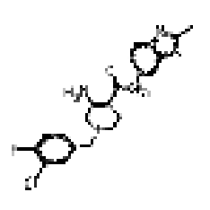 Cc1nc2ccc(NC(=O)C3=C(N)CN(Cc4ccc(F)c(Cl)c4)CC3)cc2s1